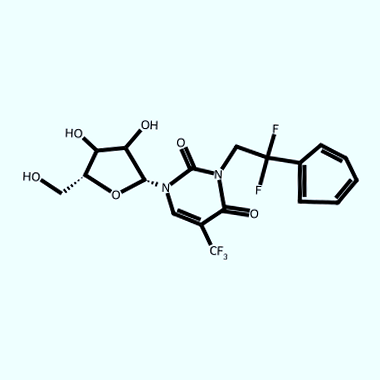 O=c1c(C(F)(F)F)cn([C@@H]2O[C@H](CO)C(O)C2O)c(=O)n1CC(F)(F)c1ccccc1